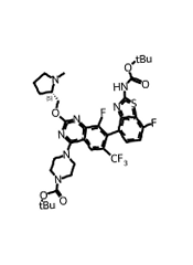 CN1CCC[C@H]1COc1nc(N2CCN(C(=O)OC(C)(C)C)CC2)c2cc(C(F)(F)F)c(-c3ccc(F)c4sc(NC(=O)OC(C)(C)C)nc34)c(F)c2n1